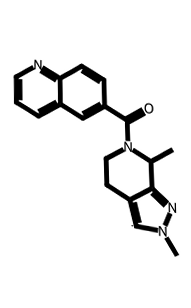 CC1c2nn(C)[c]c2CCN1C(=O)c1ccc2ncccc2c1